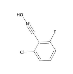 O[N+]#Cc1c(F)cccc1Cl